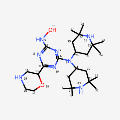 CC1(C)CC(N(c2nc(NO)nc(C3CNCCO3)n2)C2CC(C)(C)NC(C)(C)C2)CC(C)(C)N1